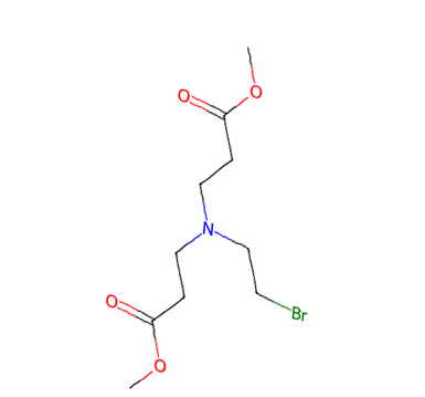 COC(=O)CCN(CCBr)CCC(=O)OC